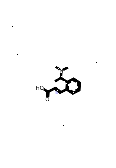 CC(c1ccccc1/C=C/C(=O)O)N(C)C